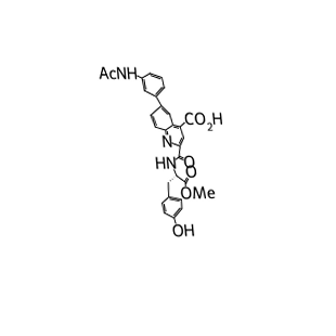 COC(=O)[C@H](Cc1ccc(O)cc1)NC(=O)c1cc(C(=O)O)c2cc(-c3cccc(NC(C)=O)c3)ccc2n1